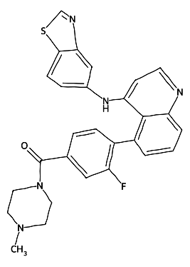 CN1CCN(C(=O)c2ccc(-c3cccc4nccc(Nc5ccc6scnc6c5)c34)c(F)c2)CC1